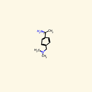 C[C@H](N)c1ccc(CN(C)C)cc1